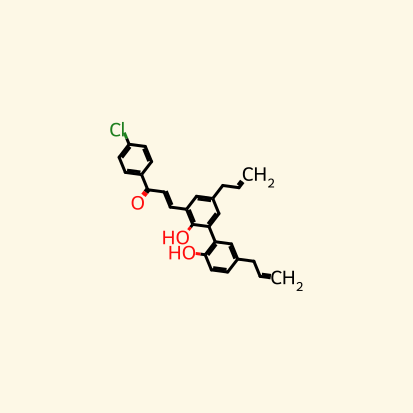 C=CCc1ccc(O)c(-c2cc(CC=C)cc(C=CC(=O)c3ccc(Cl)cc3)c2O)c1